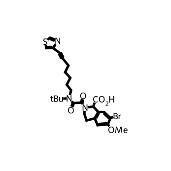 COc1cc2c(cc1Br)C(C(=O)O)N(C(=O)C(=O)N(CCCCCC#Cc1cscn1)C(C)(C)C)CC2